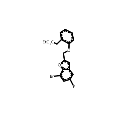 CCOC(=O)Cc1ccccc1OCc1cc2cc(F)cc(Br)c2o1